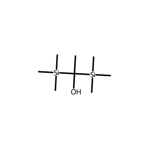 CC(O)([Si](C)(C)C)[Si](C)(C)C